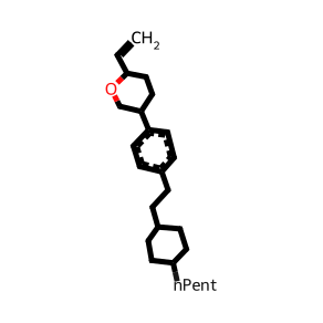 C=CC1CCC(c2ccc(CCC3CCC(CCCCC)CC3)cc2)CO1